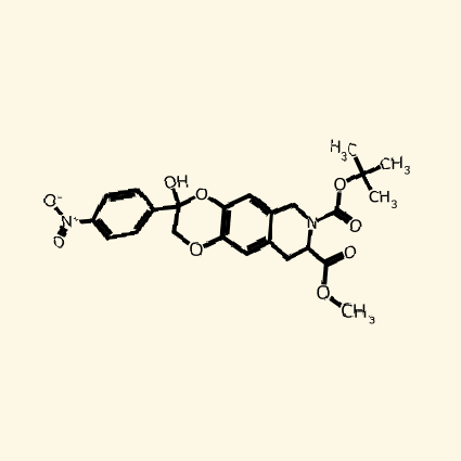 COC(=O)C1Cc2cc3c(cc2CN1C(=O)OC(C)(C)C)OC(O)(c1ccc([N+](=O)[O-])cc1)CO3